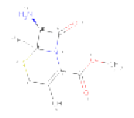 COC(=O)C1=C(C)CS[C@H]2[C@@H](N)C(=O)N12